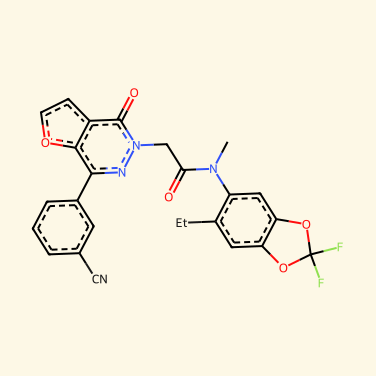 CCc1cc2c(cc1N(C)C(=O)Cn1nc(-c3cccc(C#N)c3)c3occc3c1=O)OC(F)(F)O2